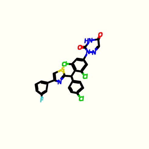 O=c1cnn(-c2cc(Cl)c(C(c3ccc(Cl)cc3)c3nc(-c4cccc(F)c4)cs3)c(Cl)c2)c(=O)[nH]1